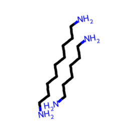 NCCCCCCCCCN.NCCCCCCN